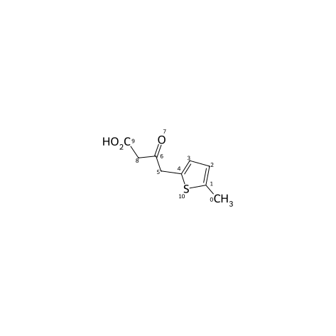 Cc1ccc(CC(=O)CC(=O)O)s1